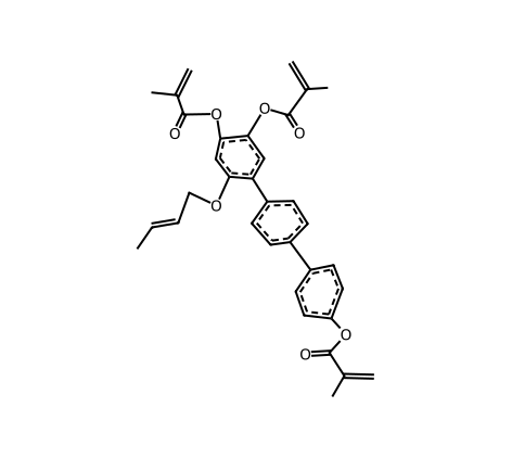 C=C(C)C(=O)Oc1ccc(-c2ccc(-c3cc(OC(=O)C(=C)C)c(OC(=O)C(=C)C)cc3OC/C=C/C)cc2)cc1